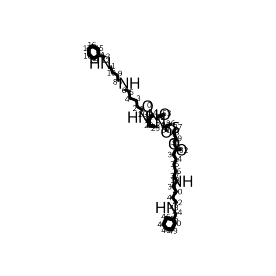 O=C(CCCCCNCCCCNCc1ccccc1)Nc1ccn(C2CSC(COC(=O)CCCCCNCCCCNCc3ccccc3)O2)c(=O)n1